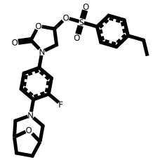 CCc1ccc(S(=O)(=O)OC2CN(c3ccc(N4CC5CCC(C4)O5)c(F)c3)C(=O)O2)cc1